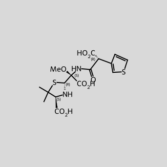 CO[C@@](NC(=O)[C@H](C(=O)O)c1ccsc1)(C(=O)O)[C@@H]1N[C@@H](C(=O)O)C(C)(C)S1